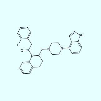 O=C(Cc1ccccc1F)N1c2ccccc2CCC1CN1CCN(c2cccc3[nH]ccc23)CC1